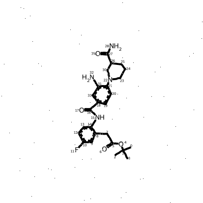 CC(C)(C)OC(=O)Cc1cc(F)ccc1NC(=O)c1ccc(N2CCCC(C(N)=O)C2)c(N)c1